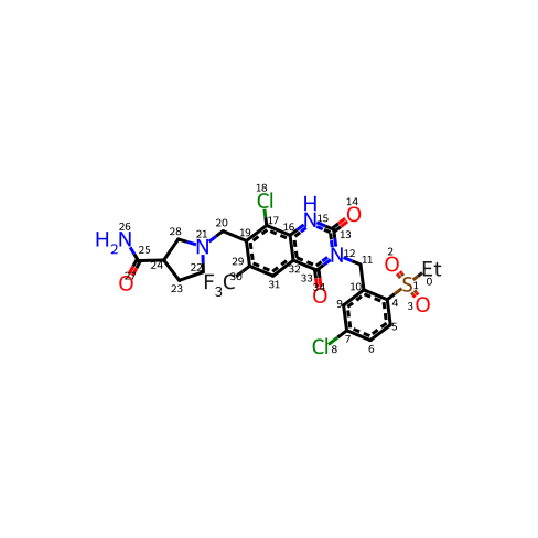 CCS(=O)(=O)c1ccc(Cl)cc1Cn1c(=O)[nH]c2c(Cl)c(CN3CCC(C(N)=O)C3)c(C(F)(F)F)cc2c1=O